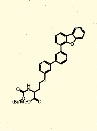 COC(=O)C(CCSc1cccc(-c2cccc(-c3cccc4c3oc3ccccc34)c2)c1)NC(=O)OC(C)(C)C